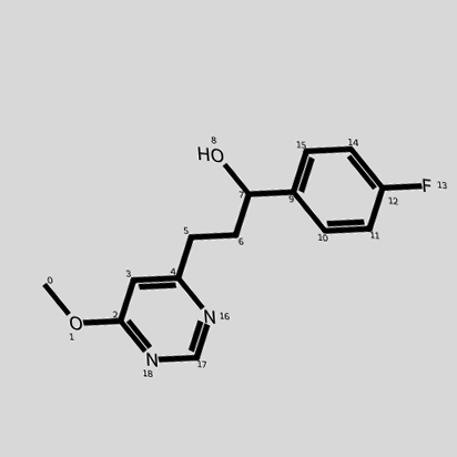 COc1cc(CCC(O)c2ccc(F)cc2)ncn1